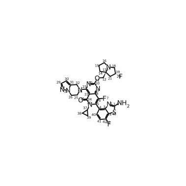 Nc1nc2c(-c3c(F)c4nc(OC[C@@]56CCCN5C[C@H](F)C6)nc(N5CCn6nccc6C5)c4c(=O)n3C3CC3)ccc(F)c2s1